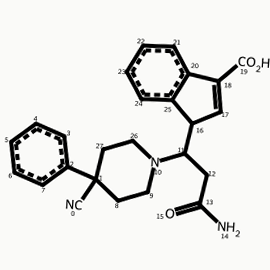 N#CC1(c2ccccc2)CCN(C(CC(N)=O)C2C=C(C(=O)O)c3ccccc32)CC1